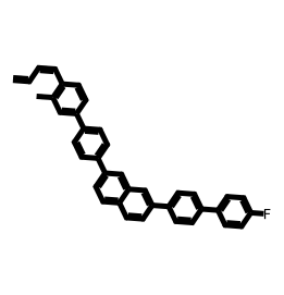 C=C/C=C\c1ccc(-c2ccc(-c3ccc4ccc(-c5ccc(-c6ccc(F)cc6)cc5)cc4c3)cc2)cc1C